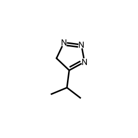 CC(C)C1=NN=NC1